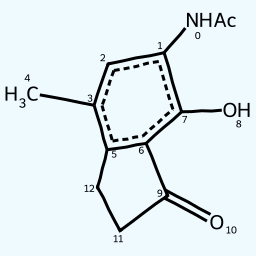 CC(=O)Nc1cc(C)c2c(c1O)C(=O)CC2